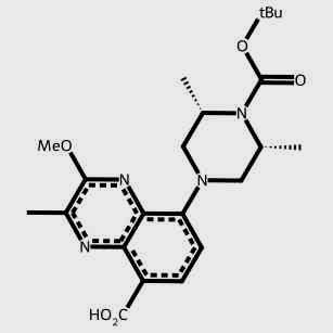 COc1nc2c(N3C[C@@H](C)N(C(=O)OC(C)(C)C)[C@@H](C)C3)ccc(C(=O)O)c2nc1C